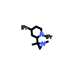 CC(C)C1CCN(C(C)C)C(C2(C)CN2C)C1